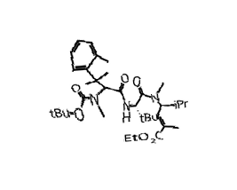 CCOC(=O)/C(C)=C/[C@H](C(C)C)N(C)C(=O)[C@@H](NC(=O)C(N(C)C(=O)OC(C)(C)C)C(C)(C)c1ccccc1C)C(C)(C)C